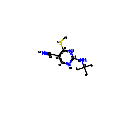 CSc1nc(NC(C)(C)C)ncc1C#N